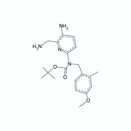 COc1ccc(CN(C(=O)OC(C)(C)C)c2ccc(N)c(CN)n2)c(C)c1